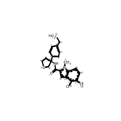 Cn1c(C(=O)N[C@]2(C3C=CC(CC(=O)O)=CC3)CCOC2)cc2c(Cl)c(Cl)ccc21